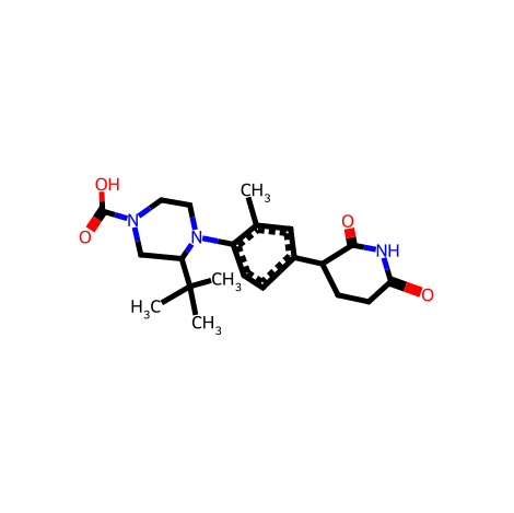 Cc1cc(C2CCC(=O)NC2=O)ccc1N1CCN(C(=O)O)CC1C(C)(C)C